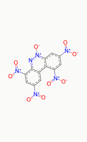 O=[N+]([O-])c1cc([N+](=O)[O-])c2n[n+]([O-])c3cc([N+](=O)[O-])cc([N+](=O)[O-])c3c2c1